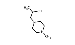 CC(S)CN1CCN(C)CC1